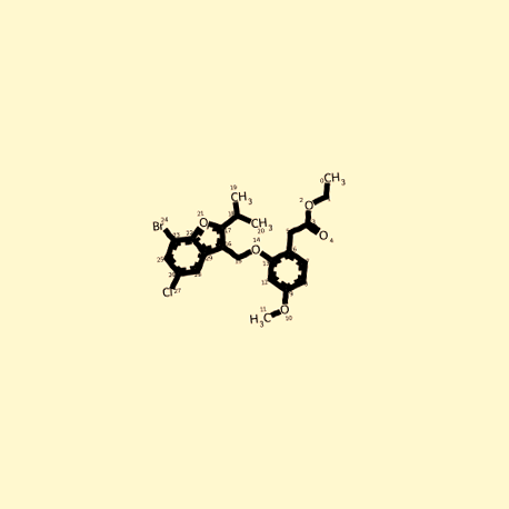 CCOC(=O)Cc1ccc(OC)cc1OCc1c(C(C)C)oc2c(Br)cc(Cl)cc12